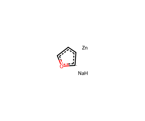 [NaH].[Zn].[c]1ccco1